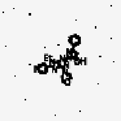 CCn1c(-c2ccncc2)nc2c(N3CCOCC3)nc(-n3nc(-c4ccccc4)cc3O)nc21